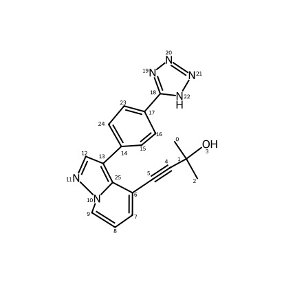 CC(C)(O)C#Cc1cccn2ncc(-c3ccc(-c4nnn[nH]4)cc3)c12